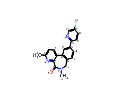 Cc1ccc2c(n1)C(=O)N(C)Cc1ccc(-c3ccc(F)cn3)cc1-2